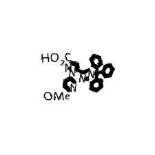 COc1ccc(-n2nc(C(=O)O)cc2-c2cn(C(c3ccccc3)(c3ccccc3)c3ccccc3)cn2)cn1